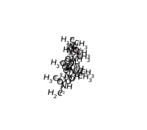 C=CCNC(=O)C(=O)C(CCC)NC(=O)[C@@H]1[C@@H]2[C@H](CN1C(=O)[C@@H](NC(=O)N[C@H](CN1CCN(C(C)C)[S+]1[O-])C(C)(C)C)C(C)(C)C)C2(C)C